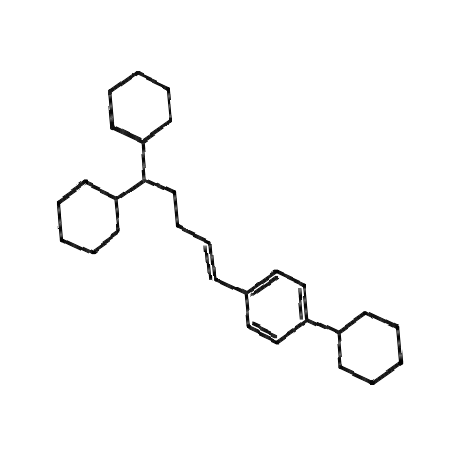 C(=C\c1ccc(C2CCCCC2)cc1)/CCC(C1CCCCC1)C1CCCCC1